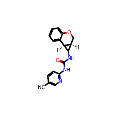 N#Cc1ccc(NC(=O)N[C@@H]2[C@@H]3COc4ccccc4[C@@H]32)nc1